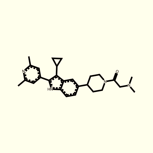 Cc1cc(-c2[nH]c3ccc(C4CCN(C(=O)CN(C)C)CC4)cc3c2C2CC2)cc(C)n1